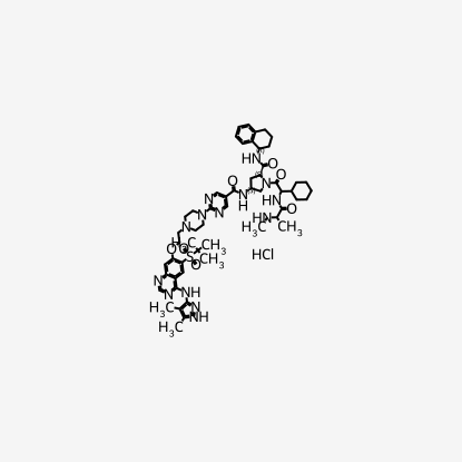 CNC(C)C(=O)NC(C(=O)N1C[C@@H](NC(=O)c2cnc(N3CCN(CCOc4cc5ncnc(Nc6n[nH]c(C)c6C)c5cc4S(=O)(=O)C(C)(C)C)CC3)nc2)C[C@H]1C(=O)N[C@@H]1CCCc2ccccc21)C1CCCCC1.Cl